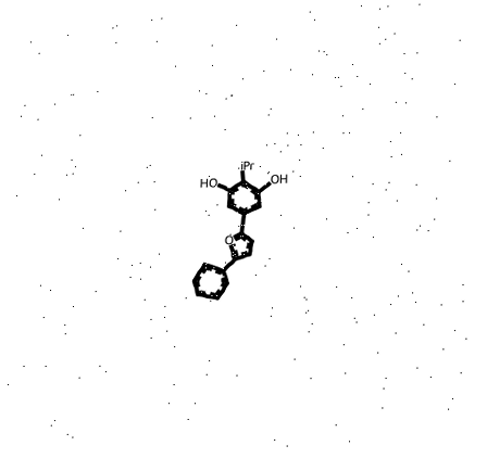 CC(C)c1c(O)cc(-c2ccc(-c3ccccc3)o2)cc1O